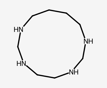 C1CCNCNCCNCNC1